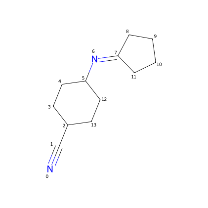 N#CC1CCC(N=C2CCCC2)CC1